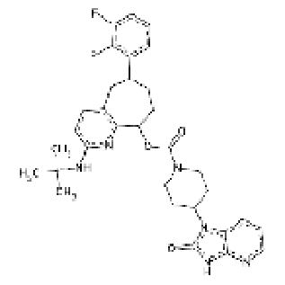 CC(C)(C)Nc1ccc2c(n1)C(OC(=O)N1CCC(n3c(=O)[nH]c4ncccc43)CC1)CCC(c1cccc(F)c1F)C2